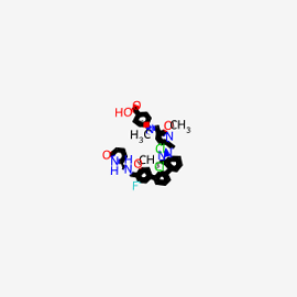 COc1cc(-c2cccc(-c3cccc4c3cnn4Cc3nc(OC)c(CN(C)C45CCC(C(=O)O)(CC4)CC5)cc3Cl)c2Cl)cc(F)c1CNC[C@@H]1CCCC(=O)N1